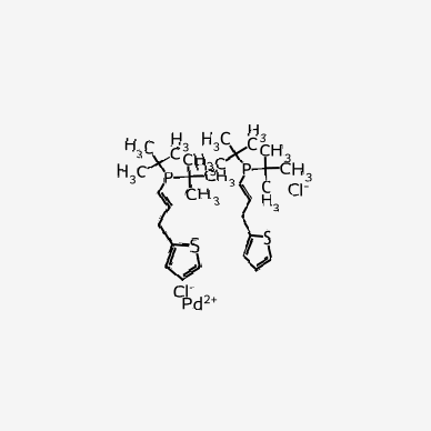 CC(C)(C)P(C=CCc1cccs1)C(C)(C)C.CC(C)(C)P(C=CCc1cccs1)C(C)(C)C.[Cl-].[Cl-].[Pd+2]